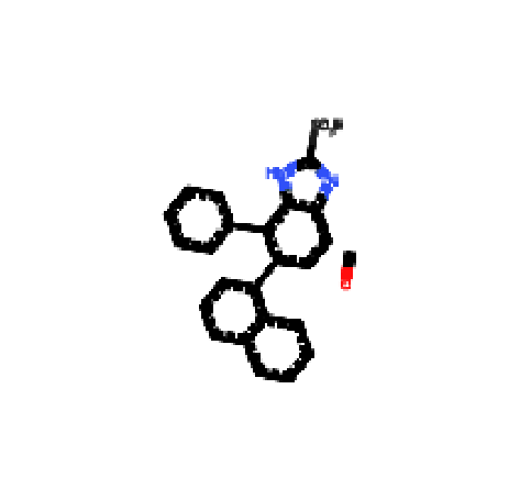 C=O.O=S(=O)(O)c1nc2ccc(-c3cccc4ccccc34)c(-c3ccccc3)c2[nH]1